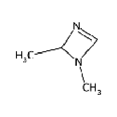 CC1N=CN1C